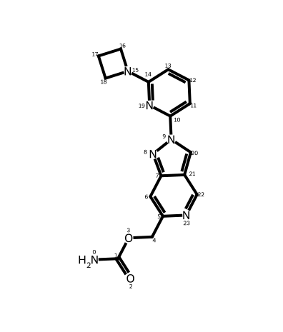 NC(=O)OCc1cc2nn(-c3cccc(N4CCC4)n3)cc2cn1